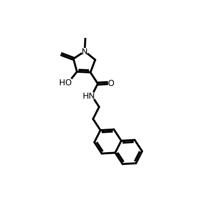 C=C1C(O)=C(C(=O)NCCc2ccc3ccccc3c2)CN1C